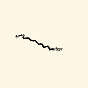 CCCCCCCCCCCCCCCC[NH][Ag]